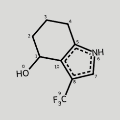 OC1CCCc2[nH]cc(C(F)(F)F)c21